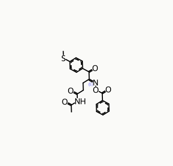 CSc1ccc(C(=O)/C(CCC(=O)NC(C)=O)=N/OC(=O)c2ccccc2)cc1